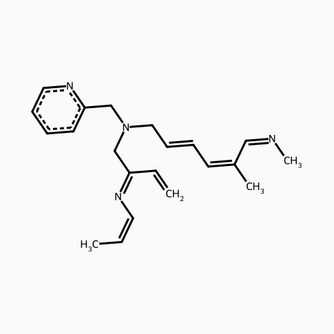 C=C/C(CN(C/C=C/C=C(C)\C=N/C)Cc1ccccn1)=N\C=C/C